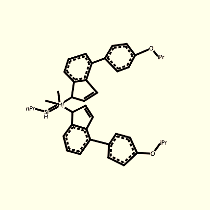 CCC[SiH]=[Hf]([CH3])([CH3])([CH]1C=Cc2c(-c3ccc(OC(C)C)cc3)cccc21)[CH]1C=Cc2c(-c3ccc(OC(C)C)cc3)cccc21